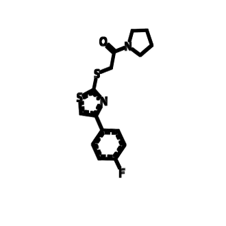 O=C(CSc1nc(-c2ccc(F)cc2)cs1)N1CCCC1